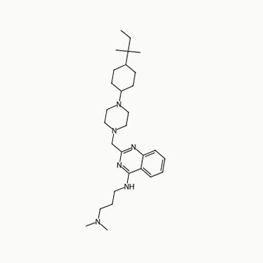 CCC(C)(C)C1CCC(N2CCN(Cc3nc(NCCCN(C)C)c4ccccc4n3)CC2)CC1